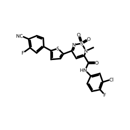 CN1C(C(=O)Nc2ccc(F)c(Cl)c2)=CC(c2ccc(-c3ccc(C#N)c(F)c3)s2)=NS1(=O)=O